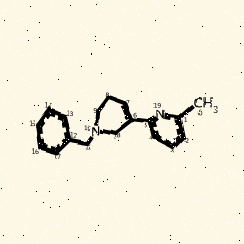 Cc1cccc(C2=CCCN(Cc3ccccc3)C2)n1